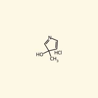 CC1(O)C=CN=C1.Cl